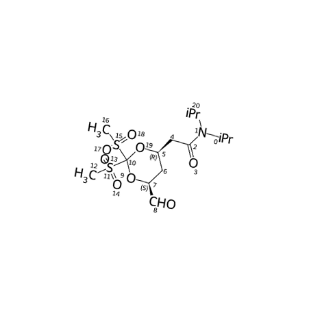 CC(C)N(C(=O)C[C@H]1C[C@@H](C=O)OC(S(C)(=O)=O)(S(C)(=O)=O)O1)C(C)C